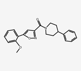 COc1ccccc1-c1cc(C(=O)N2CCC(c3ccccc3)CC2)no1